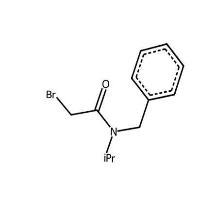 CC(C)N(Cc1ccccc1)C(=O)CBr